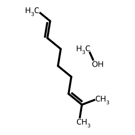 CC=CCCCC=C(C)C.CO